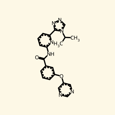 CC(C)n1cnnc1-c1cccc(NC(=O)c2cccc(Oc3cncnc3)c2)n1